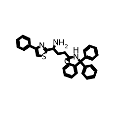 NC(CCC(=O)NC(c1ccccc1)(c1ccccc1)c1ccccc1)c1nc(-c2ccccc2)cs1